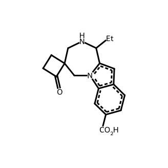 CCC1NCC2(CCC2=O)Cn2c1cc1ccc(C(=O)O)cc12